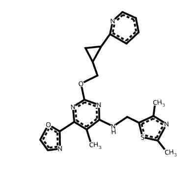 Cc1nc(C)c(CNc2nc(OCC3CC3c3ccccn3)nc(-c3ncco3)c2C)s1